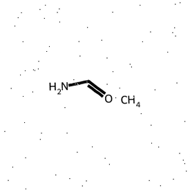 C.NC=O